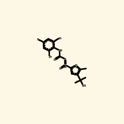 Cc1oc(/[SH](=O)=N/C(=O)Nc2c(C(C)C)cc(F)cc2C(C)C)cc1C(C)(C)O